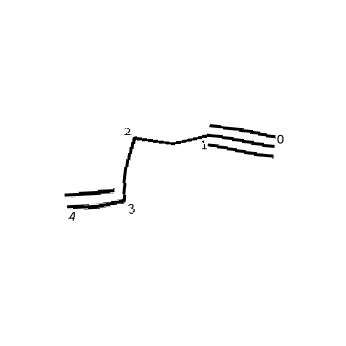 C#CCC=C